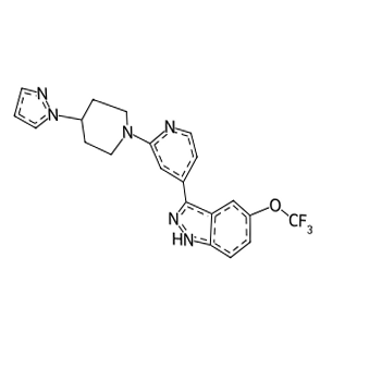 FC(F)(F)Oc1ccc2[nH]nc(-c3ccnc(N4CCC(n5cccn5)CC4)c3)c2c1